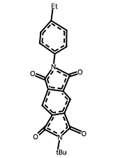 CCc1ccc(-n2c(=O)c3cc4c(=O)n(C(C)(C)C)c(=O)c4cc3c2=O)cc1